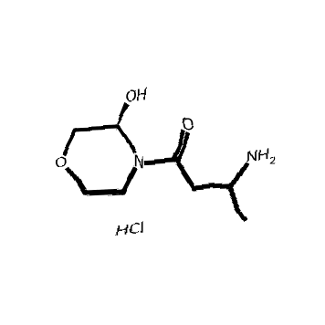 CC(N)CC(=O)N1CCOC[C@H]1O.Cl